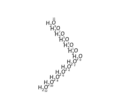 O.O.O.O.O.O.O.O.O.O.O.O.O